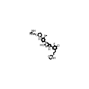 CSc1cc(N2C=c3cc(-c4cc(CCC[C@@H]5COCCN5)cc(Cl)c4F)[nH]c3=NC2O)ccc1[C@@H]1CCC[C@@H](CCNC(C)=N)N1